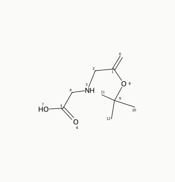 C=C(CNCC(=O)O)OC(C)(C)C